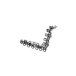 [Bi+3].[Nb+5].[O]=[Ta](=[O])[O-].[O]=[Ta](=[O])[O-].[O]=[Ta](=[O])[O-].[O]=[Ta](=[O])[O-].[O]=[Ta](=[O])[O-].[O]=[Ta](=[O])[O-].[O]=[Ta](=[O])[O-].[O]=[Ta](=[O])[O-].[O]=[Ta](=[O])[O-].[O]=[Ta](=[O])[O-].[Sr+2]